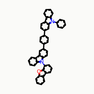 c1ccc(-n2c3ccccc3c3ccc(-c4ccc(-c5ccc6c(c5)c5ccccc5n6-c5cccc6c5oc5ccccc56)cc4)cc32)cc1